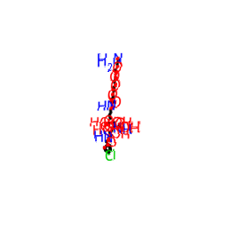 NCCOCCOCCOCCOCCC(=O)NCCCCCO[C@]1(C(=O)O)C[C@H](O)[C@@H](NC(=O)CO)[C@H]([C@H](O)[C@H](O)CNC(=O)Cc2ccc(Cl)cc2)O1